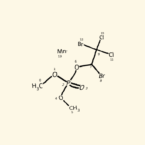 COP(=O)(OC)OC(Br)C(Cl)(Cl)Br.[Mn]